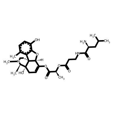 Cc1ccc(O)c2c1[C@]13CCN(C)[C@H](C)[C@]1(O)CC=C(OC(=O)[C@H](C)OC(=O)CCNC(=O)[C@@H](N)CC(C)C)[C@@H]3O2